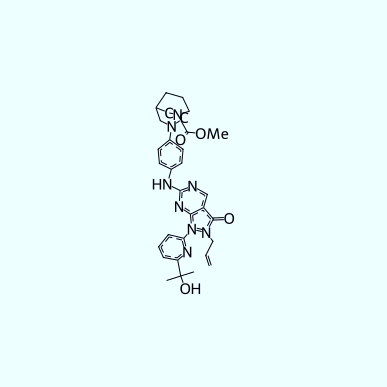 C=CCn1c(=O)c2cnc(Nc3ccc(N4CC5CCC(C4)N(C(=O)OC)C5)cc3)nc2n1-c1cccc(C(C)(C)O)n1